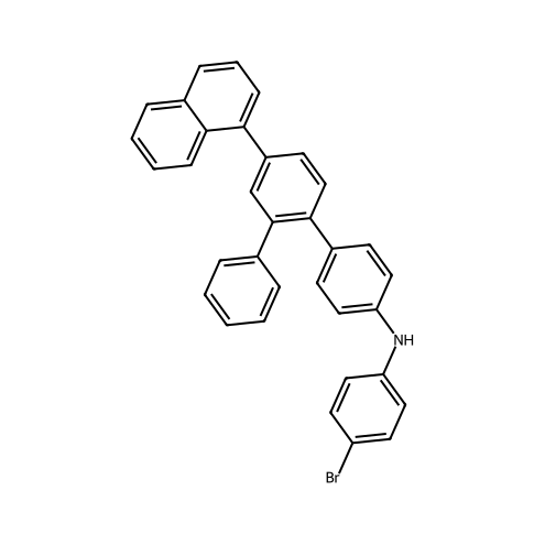 Brc1ccc(Nc2ccc(-c3ccc(-c4cccc5ccccc45)cc3-c3ccccc3)cc2)cc1